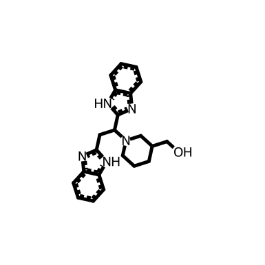 OCC1CCCN(C(Cc2nc3ccccc3[nH]2)c2nc3ccccc3[nH]2)C1